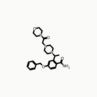 CC(c1cc(OCc2ccccc2)ccc1C(N)=O)N1CCN(CC(=O)N2CCOCC2)CC1